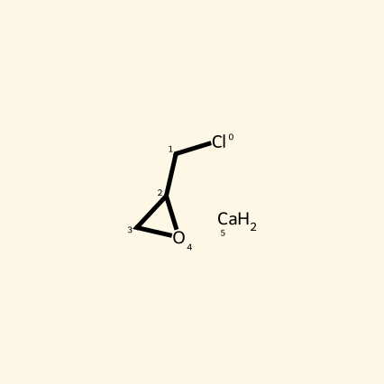 ClCC1CO1.[CaH2]